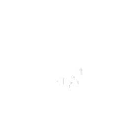 CCCCCCCCCCC1(CCCCCCCCCC)C(Cl)=C(Cl)C(Cl)=C1Cl